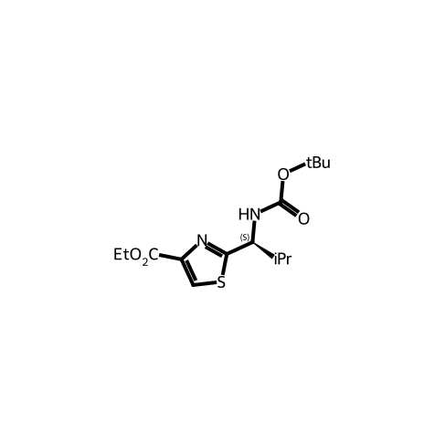 CCOC(=O)c1csc([C@@H](NC(=O)OC(C)(C)C)C(C)C)n1